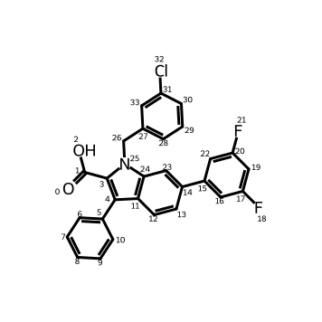 O=C(O)c1c(-c2ccccc2)c2ccc(-c3cc(F)cc(F)c3)cc2n1Cc1cccc(Cl)c1